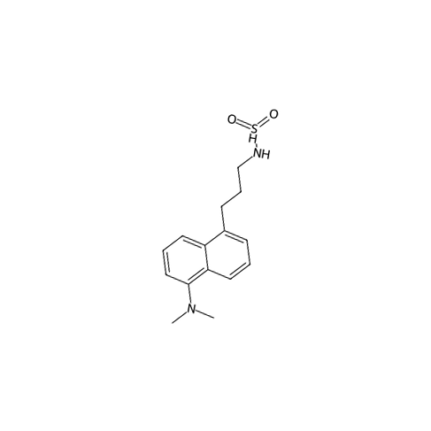 CN(C)c1cccc2c(CCCN[SH](=O)=O)cccc12